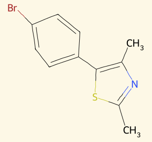 Cc1nc(C)c(-c2ccc(Br)cc2)s1